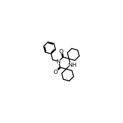 O=C1N(Cc2ccccc2)C(=O)C2(CCCCC2)NC12CCCCC2